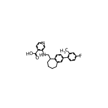 Cc1cc(F)ccc1-c1ccc2c(c1)CCCCC2CNc1cnccc1C(=O)O